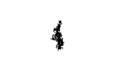 CCS(=O)(=O)c1cc(C(=NOCCSC)OC)cnc1-c1nc2cc(C(F)(F)F)ccn2n1